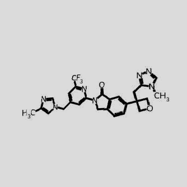 Cc1cn(Cc2cc(N3Cc4ccc(C5(Cc6nncn6C)COC5)cc4C3=O)nc(C(F)(F)F)c2)cn1